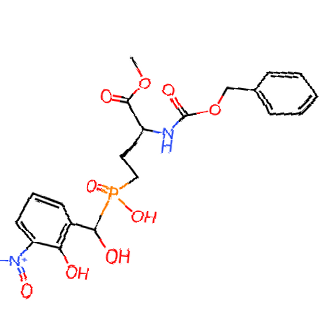 COC(=O)[C@H](CCP(=O)(O)C(O)c1cccc([N+](=O)[O-])c1O)NC(=O)OCc1ccccc1